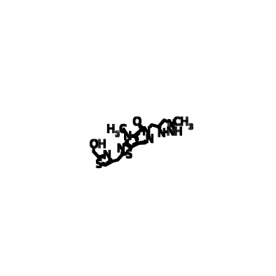 CN1CC(Cn2ncc3c4sc(Cc5csc(CO)n5)nc4n(C)c3c2=O)=NN1